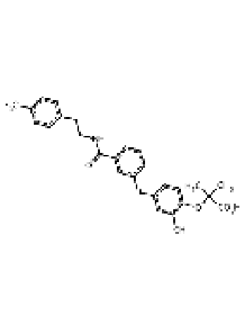 Cc1cc(Oc2cccc(C(=O)NCCc3ccc(C(F)(F)F)cc3)c2)ccc1OC(C)(C)C(=O)O